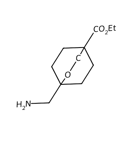 CCOC(=O)C12CCC(CN)(CC1)OC2